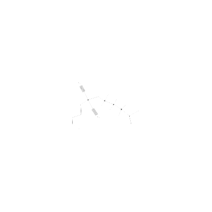 CCCCC(C#N)(C#N)CC(F)(F)C(F)(F)C(F)(F)C(F)F